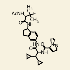 CC(=O)N[C@@H](C(=O)N[C@@H]1CCc2cc(NC(=O)[C@@H](NC(=O)c3ccnn3C(C)C)C(C3CC3)C3CC3)ccc21)C(C)(C)F